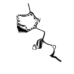 CCOC(=O)Cc1ccnc(C)n1